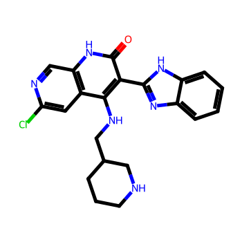 O=c1[nH]c2cnc(Cl)cc2c(NCC2CCCNC2)c1-c1nc2ccccc2[nH]1